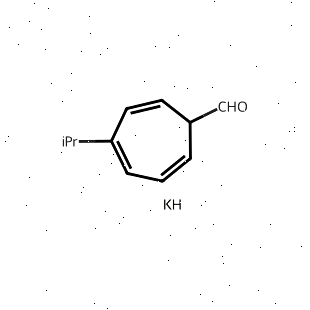 CC(C)C1=CC=CC(C=O)C=C1.[KH]